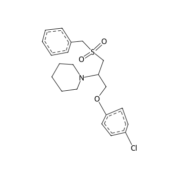 O=S(=O)(Cc1ccccc1)CC(COc1ccc(Cl)cc1)N1CCCCC1